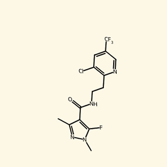 Cc1nn(C)c(F)c1C(=O)NCCc1ncc(C(F)(F)F)cc1Cl